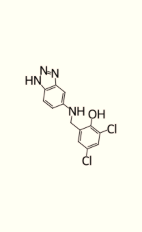 Oc1c(Cl)cc(Cl)cc1CNc1ccc2[nH]nnc2c1